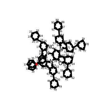 N#Cc1c(-n2c3ccc(-c4ccccc4)cc3c3cc(-c4ccccc4)ccc32)c(-n2c3ccc(-c4ccccc4)cc3c3cc(-c4ccccc4)ccc32)c2oc3c(-c4ccccc4)cccc3c2c1-n1c2ccc(-c3ccccc3)cc2c2cc(-c3ccccc3)ccc21